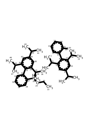 CC(C)c1cc(C(C)C)c(-c2ccccc2I)c(C(C)C)c1.CCO[PH](=O)c1ccccc1-c1c(C(C)C)cc(C(C)C)cc1C(C)C